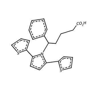 O=C(O)CCCC(c1ccccc1)n1c(-c2cccs2)ccc1-c1cccs1